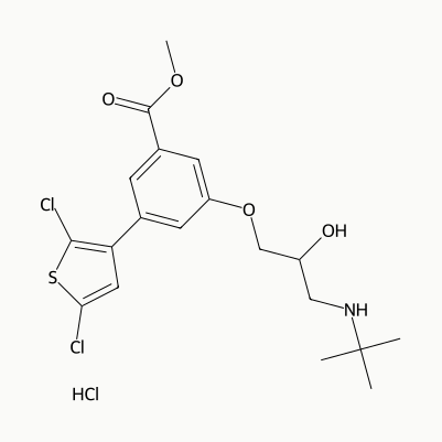 COC(=O)c1cc(OCC(O)CNC(C)(C)C)cc(-c2cc(Cl)sc2Cl)c1.Cl